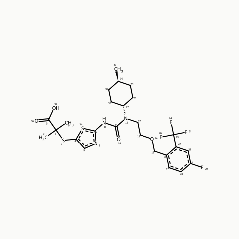 CC(C)(Sc1cnc(NC(=O)N(CCOCc2ccc(F)cc2C(F)(F)F)[C@H]2CC[C@H](C)CC2)s1)C(=O)O